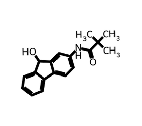 CC(C)(C)C(=O)Nc1ccc2c(c1)C(O)c1ccccc1-2